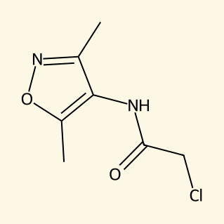 Cc1noc(C)c1NC(=O)CCl